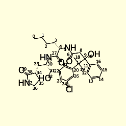 CCCC[C@H](NC(=O)CC(O)(c1ccccc1)C(C)(C)c1cccc(Cl)c1)C(=O)N[C@H](CO)C[C@@H]1CCNC1=O